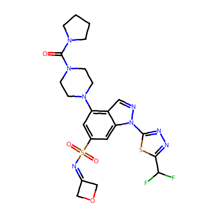 O=C(N1CCCC1)N1CCN(c2cc(S(=O)(=O)N=C3COC3)cc3c2cnn3-c2nnc(C(F)F)s2)CC1